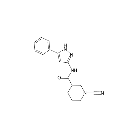 N#CN1CCCC(C(=O)Nc2cc(-c3ccccc3)[nH]n2)C1